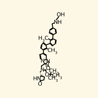 Cc1c(-c2ccc(CNCCO)cc2)cccc1-c1cccc(-c2ccn3c(CN(C[C@@H]4CCC(=O)N4)C(=O)OC(C)(C)C)nnc3c2)c1C